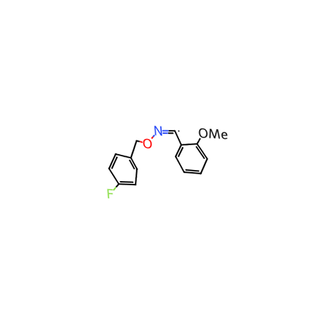 COc1ccccc1/[C]=N\OCc1ccc(F)cc1